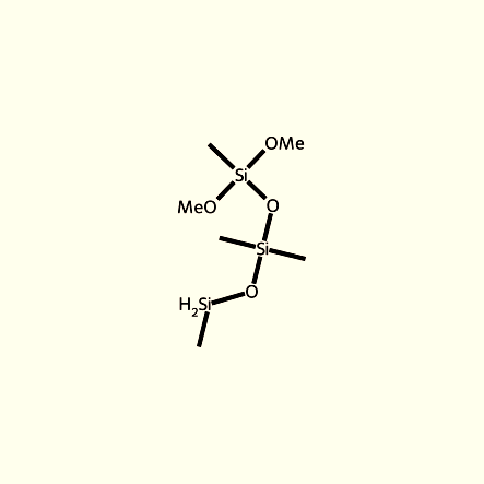 CO[Si](C)(OC)O[Si](C)(C)O[SiH2]C